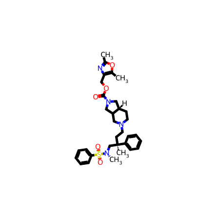 Cc1nc(COC(=O)N2CC3CN(CC[C@](C)(CN(C)S(=O)(=O)c4ccccc4)c4ccccc4)CC[C@H]3C2)c(C)o1